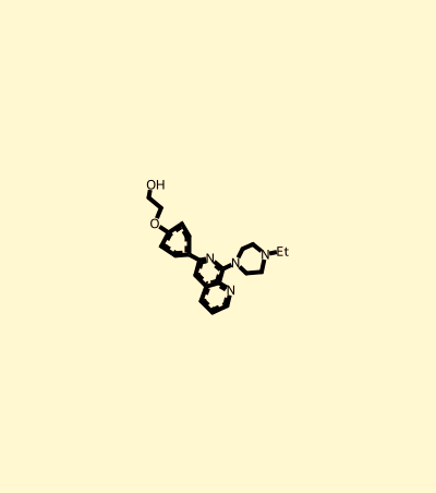 CCN1CCN(c2nc(-c3ccc(OCCO)cc3)cc3cccnc23)CC1